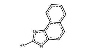 Sc1nc2ccc3ccccc3c2o1